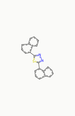 c1ccc2c(-c3nnc(-c4cccc5ccccc45)s3)cccc2c1